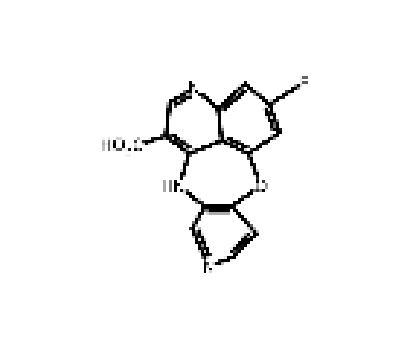 O=C(O)c1cnc2cc(F)cc3c2c1Nc1cnccc1O3